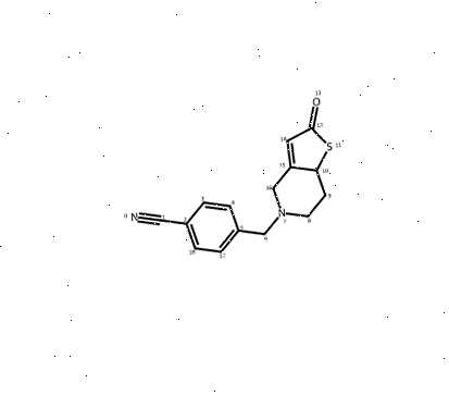 N#Cc1ccc(CN2CCC3SC(=O)C=C3C2)cc1